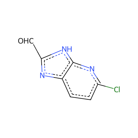 O=Cc1nc2ccc(Cl)nc2[nH]1